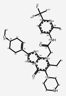 CCc1c(N2CCNCC2)c(=O)n2nc(C3=CC[C@H](OC)CC3)nc2n1CC(=O)Nc1ccc(C(F)(F)F)nc1C